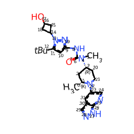 C[C@@H]1C[C@H](N(C)C(=O)Nc2cc(C(C)(C)C)n(C3CC(O)C3)n2)CCN1c1cnc2[nH]ncc2c1